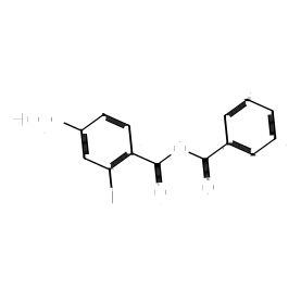 O=C(O)c1ccc(C(=O)OC(=O)c2ccccc2)c(I)c1